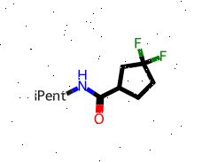 CCCC(C)NC(=O)C1CCC(F)(F)C1